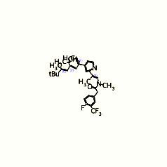 C=C(C)C(=C\C(=C/C)c1ccnc(/C(C)=C/N(C)C(=O)Cc2ccc(F)c(C(F)(F)F)c2)c1)/C=C(\C)C(C)(C)C